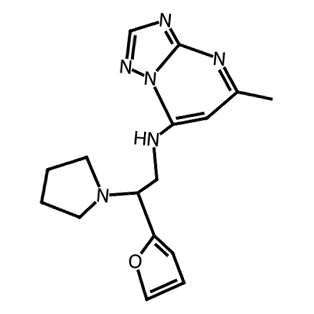 Cc1cc(NCC(c2ccco2)N2CCCC2)n2ncnc2n1